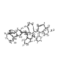 c1ccc2c(c1)-c1c(ccc3ccccc13)-c1cccc3c1N2c1ccccc1N3c1ccc2oc3ccccc3c2c1